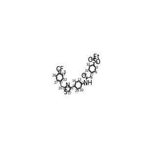 CCS(=O)(=O)c1ccc(CC(=O)Nc2ccc(-c3csc(Cc4ccc(C(F)(F)F)cc4)n3)cc2)cc1